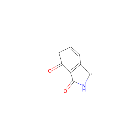 O=C1CC=CC2=C1C(=O)N[C]2